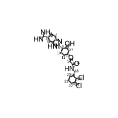 N=C(N)c1ccc2nc(-c3ccc(OCC(=O)NCc4cccc(Cl)c4Cl)cc3O)[nH]c2c1